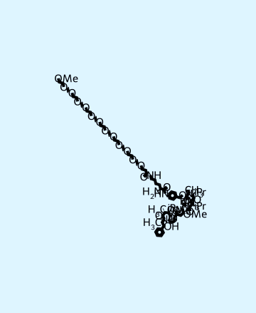 CC[C@H](C)[C@@H]([C@@H](CC(=O)N1CCC[C@H]1[C@H](OC)[C@@H](C)C(=O)N[C@H](C)[C@@H](O)c1ccccc1)OC)N(C)C(=O)[C@@H](NC(=O)[C@H](C(C)C)N(C)C(=O)OCc1ccc(NC(=O)[C@@H](N)CCCCNC(=O)CCOCCOCCOCCOCCOCCOCCOCCOCCOCCOCCOCCOCCOC)cc1)C(C)C